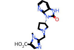 Cn1c(C(=O)O)cnc1CN1CC[C@H](n2c(=O)[nH]c3cccnc32)C1